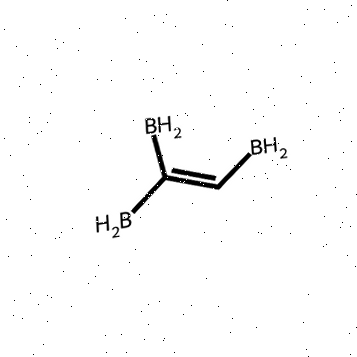 BC=C(B)B